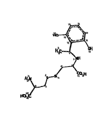 CC(NC(CSSCC(N)C(=O)O)C(=O)O)c1c(O)cccc1O